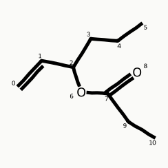 C=CC(CCC)OC(=O)CC